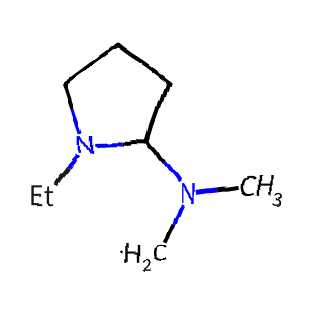 [CH2]N(C)C1CCCN1CC